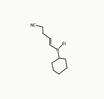 CCN(C=CCCC#N)C1CCCCC1